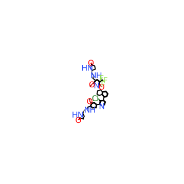 COc1cc(-c2nccc(-c3cccc4c3CCC[C@@H]4Oc3nc(OC)c(CNC[C@@H]4CCC(=O)N4)cc3C(F)(F)F)c2Cl)ccc1CNC[C@H]1CCC(=O)N1